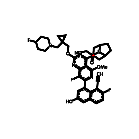 C#Cc1c(F)ccc2cc(O)cc(-c3nc(OC)c4c(N5CC6CCC(C5)N6C(=O)CC#N)nc(OCC5(CN6CCC(F)CC6)CC5)nc4c3F)c12